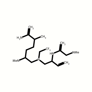 C=CC(CN(CC(CCC(C)C(=C)N)NC)CC(F)(F)F)NC(=C)CNC